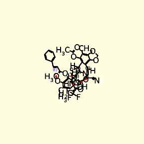 C=CCN1[C@@H]2Cc3cc(C)c(OC)c(OC(=O)/C=C/c4ccccc4)c3[C@@H]1[C@@H]1[C@@H]3SCC(NC(=O)C(F)(F)F)C(=O)OC[C@@H](c4c5c(c(C)c(OC(C)=O)c43)OCO5)N1[C@H]2C#N